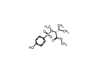 COC(=O)[C@@H](C(C)C)N(C)S(=O)(=O)c1ccc(O)cc1